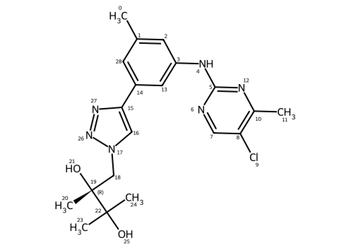 Cc1cc(Nc2ncc(Cl)c(C)n2)cc(-c2cn(C[C@@](C)(O)C(C)(C)O)nn2)c1